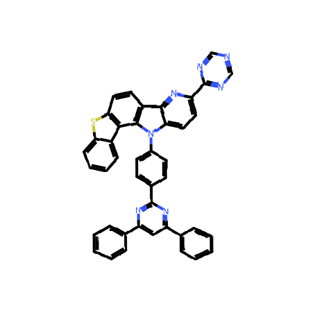 c1ccc(-c2cc(-c3ccccc3)nc(-c3ccc(-n4c5ccc(-c6ncncn6)nc5c5ccc6sc7ccccc7c6c54)cc3)n2)cc1